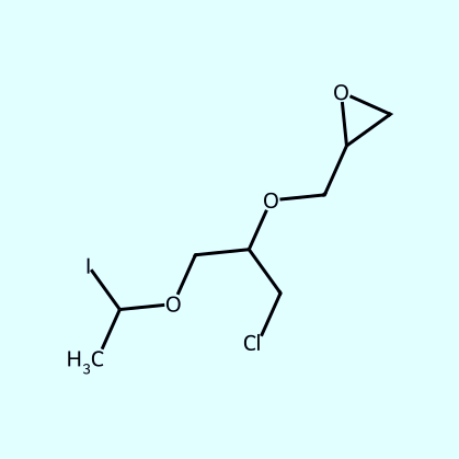 CC(I)OCC(CCl)OCC1CO1